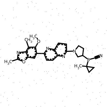 COc1c(-c2ccc3nc(N4CCC(B(C#N)C5(C)CC5)C4)ccc3n2)cc2oc(C)nc2c1C